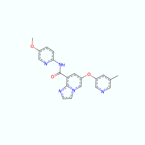 COc1ccc(NC(=O)c2cc(Oc3cncc(C)c3)cn3ccnc23)nc1